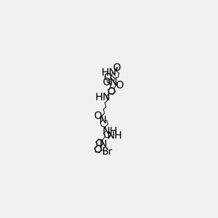 N=C/C(=C\NC1CCN(C(=O)CCCCCNc2ccc3c(c2)C(=O)N(C2CCC(=O)NC2=O)C3=O)CC1)c1ccc2cccc(Br)c2n1